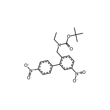 CCN(Cc1ccc([N+](=O)[O-])cc1-c1ccc([N+](=O)[O-])cc1)C(=O)OC(C)(C)C